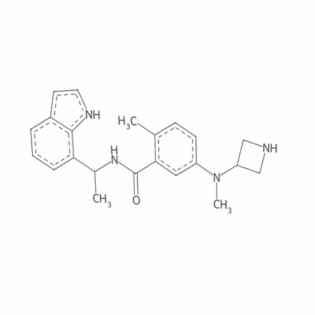 Cc1ccc(N(C)C2CNC2)cc1C(=O)NC(C)c1cccc2cc[nH]c12